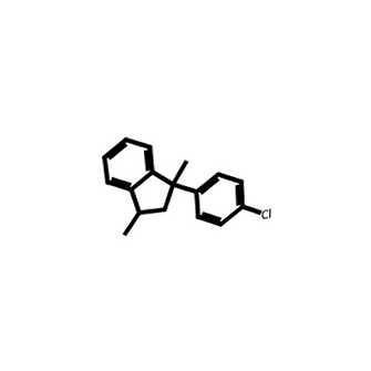 CC1CC(C)(c2ccc(Cl)cc2)c2ccccc21